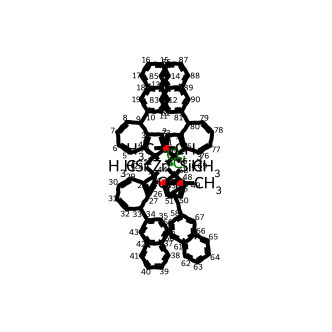 CC1=CC2=C(C=CC=CC2c2ccc3ccccc3c2)[C]12[SiH](C)[C]1(C(C)=CC3=C1C=CC=CC3c1ccc3ccccc3c1)[Zr]21([Cl])([Cl])[C]2(C(C)=CC3=C2C=CC=CC3c2ccc3ccccc3c2)[SiH](C)[C]12C(C)=CC1=C2C=CC=CC1c1ccc2ccccc2c1